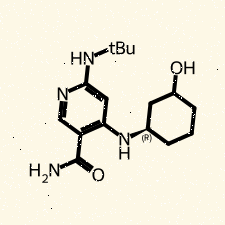 CC(C)(C)Nc1cc(N[C@@H]2CCCC(O)C2)c(C(N)=O)cn1